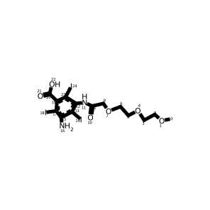 COCCOCCOCC(=O)Nc1c(I)c(N)c(I)c(C(=O)O)c1I